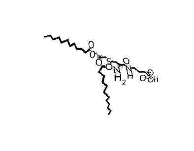 CCCCCCCCCCCC(=O)OC[C@H](CSC[C@H](N)C(=O)NCCCS(=O)(=O)O)OC(=O)CCCCCCCCCCC